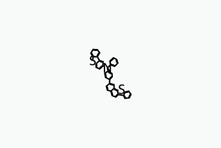 c1ccc(N(c2ccc(-c3ccc4ccc5c6ccccc6sc5c4c3)cc2)c2ccc3sc4ccccc4c3c2)cc1